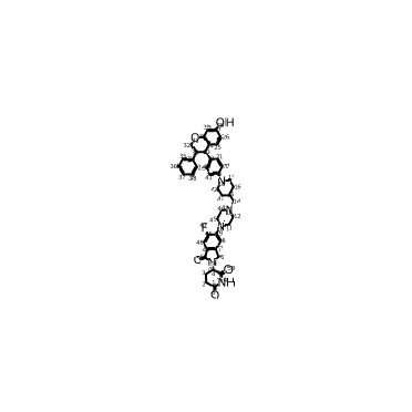 O=C1CC[C@H](N2Cc3cc(N4CCN(CC5CCN(c6ccc(C7c8ccc(O)cc8OCC7c7ccccc7)cc6)CC5)CC4)c(F)cc3C2=O)C(=O)N1